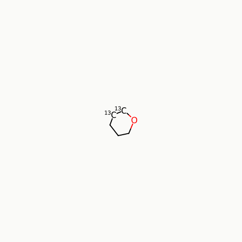 C1C[13CH2][13CH2]OC1